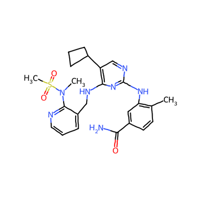 Cc1ccc(C(N)=O)cc1Nc1ncc(C2CCC2)c(NCc2cccnc2N(C)S(C)(=O)=O)n1